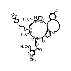 COc1nn(C)cc1C(=O)[N+]#CS1(=O)=NC(=O)c2ccc3c(c2)N(Cc2ccc(Cl)cc2CCCCO3)C[C@@H]2CC[C@H]2[C@@H](OC)/C=C/[C@H](OCCN2CC3(COC3)C2)[C@H](C)C1